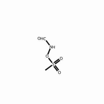 CS(=O)(=O)ONC=O